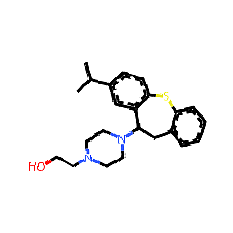 CC(C)c1ccc2c(c1)C(N1CCN(CCO)CC1)Cc1ccccc1S2